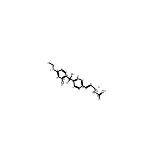 CCOc1ccc(C(F)(F)c2ccc(/C=C/[C@H](C)NC(C)=O)cn2)c(Cl)c1